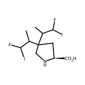 CC(C(F)I)C1(C(C)C(F)I)CN[C@H](C(=O)O)C1